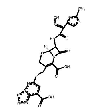 Nc1nc(C(=NO)C(=O)NC2C(=O)N3C(C(=O)O)=C(CSc4cc(C(=O)O)c5nnnn5n4)CS[C@@H]23)cs1